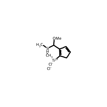 COC(C1=[C]([Ti+2])CC=C1)[SiH](C)C.[Cl-].[Cl-]